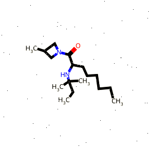 CCCCCCC(NC(C)(C)CC)C(=O)N1CC(C)C1